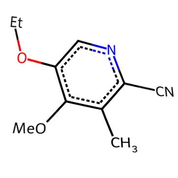 CCOc1cnc(C#N)c(C)c1OC